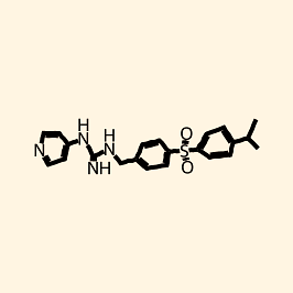 CC(C)c1ccc(S(=O)(=O)c2ccc(CNC(=N)Nc3ccncc3)cc2)cc1